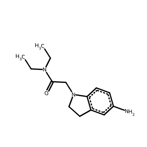 CCN(CC)C(=O)CN1CCc2cc(N)ccc21